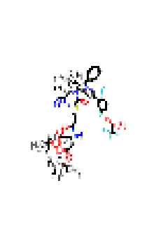 CC(C)(C)OC(=O)CC(NC(=O)CCSCC(=O)N(CCCN)C(c1cc(-c2cc(F)ccc2F)cn1Cc1ccccc1)C(C)(C)C)C(=O)OC(C)(C)C.O=C(O)C(F)(F)F